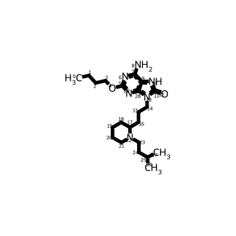 CCCCOc1nc(N)c2[nH]c(=O)n(CCCC3CCCCN3CCC(C)C)c2n1